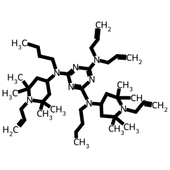 C=CCN(CC=C)c1nc(N(CCCC)C2CC(C)(C)N(CC=C)C(C)(C)C2)nc(N(CCCC)C2CC(C)(C)N(CC=C)C(C)(C)C2)n1